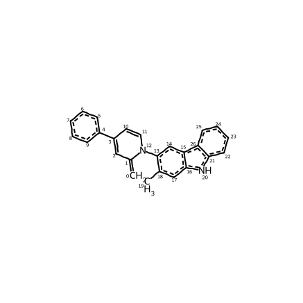 C=C1C=C(c2ccccc2)C=CN1c1cc2c(cc1C)[nH]c1ccccc12